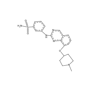 CN1CCC(Oc2cccc3cnc(Nc4cccc(S(N)(=O)=O)c4)nc23)CC1